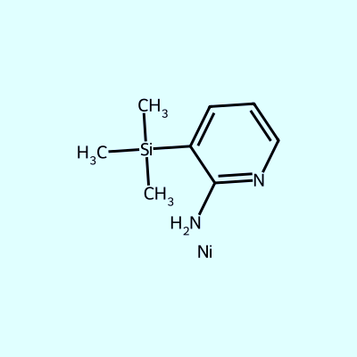 C[Si](C)(C)c1cccnc1N.[Ni]